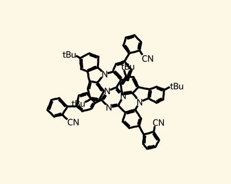 CC(C)(C)c1ccc2c(c1)c1cc(C(C)(C)C)ccc1n2-c1cc(-c2ccccc2C#N)ccc1-c1nc(-c2ccc(-c3ccccc3C#N)cc2)nc(-c2ccc(-c3ccccc3C#N)cc2-n2c3ccc(C(C)(C)C)cc3c3cc(C(C)(C)C)ccc32)n1